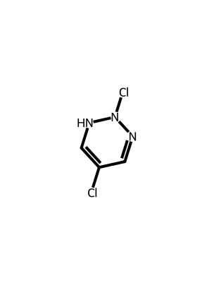 ClC1=CNN(Cl)N=C1